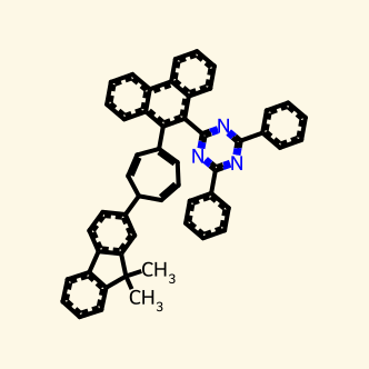 CC1(C)c2ccccc2-c2ccc(C3C=CC=C(c4c(-c5nc(-c6ccccc6)nc(-c6ccccc6)n5)c5ccccc5c5ccccc45)C=C3)cc21